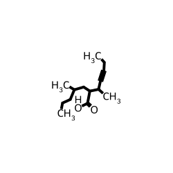 CCC#CC(C)C(CC(C)CCC)C(=O)O